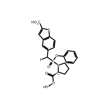 CCCOC(=O)[C@@H]1CCCN1P(=O)(Oc1ccccc1)C(F)c1ccc2sc(C(=O)O)cc2c1